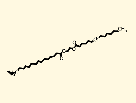 C1CC1.CCCCCCCCCCCCCCC(=O)OCCOC(=O)CCCCCCCCCCCCCC